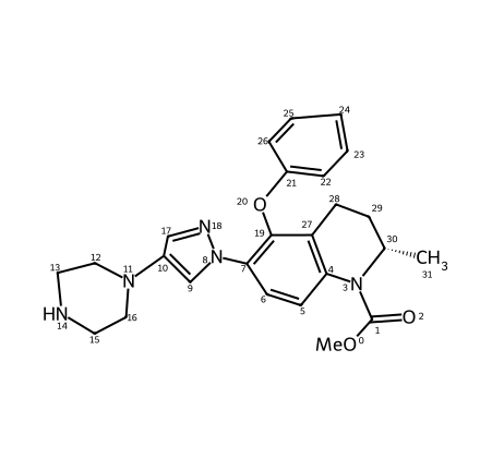 COC(=O)N1c2ccc(-n3cc(N4CCNCC4)cn3)c(Oc3ccccc3)c2CC[C@@H]1C